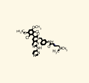 COc1cc(OC)c(Cl)c(-c2cc3cnc(Nc4ccncn4)nc3n(Cc3cccc(NC(=O)/C=C/CN(C)C)c3)c2=O)c1Cl